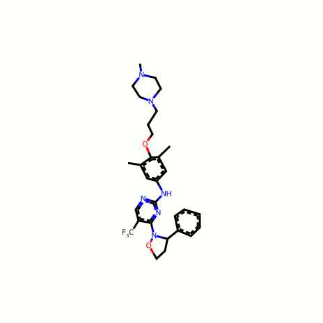 Cc1cc(Nc2ncc(C(F)(F)F)c(N3OCCC3c3ccccc3)n2)cc(C)c1OCCCN1CCN(C)CC1